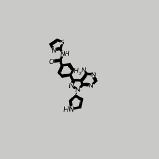 Nc1ncnc2c1c(-c1ccc(C(=O)Nc3nccs3)cc1)nn2[C@@H]1CCNC1